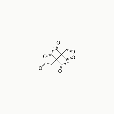 CC(=O)C(C=O)(C(C)=O)C(CC=O)(C(C)=O)C(C)=O